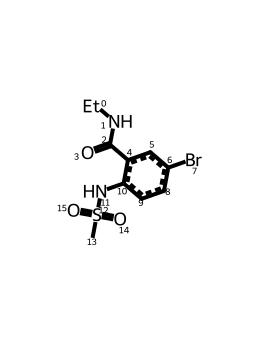 CCNC(=O)c1cc(Br)ccc1NS(C)(=O)=O